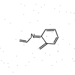 C=C/N=C1/C=CC=CC1=C